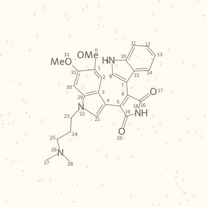 COc1cc2c(C3=C(c4c[nH]c5ccccc45)C(=O)NC3=O)cn(CCCN(C)C)c2cc1OC